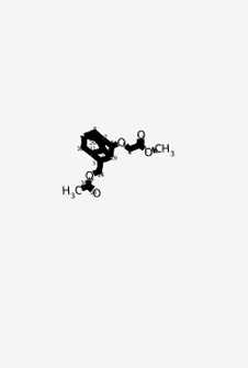 COC(=O)COC1C2CC3CC(C2)C(COC(C)=O)C1C3